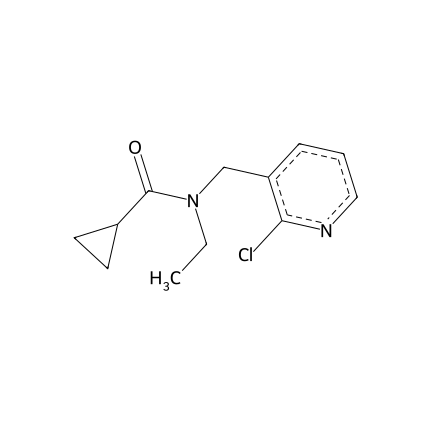 CCN(Cc1cccnc1Cl)C(=O)C1CC1